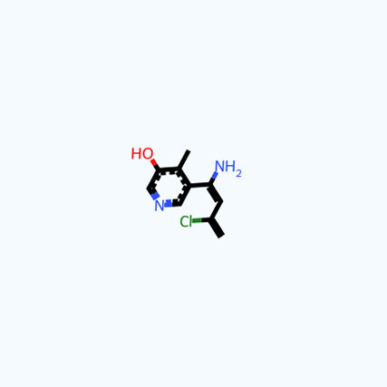 C=C(Cl)/C=C(/N)c1cncc(O)c1C